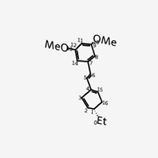 CC[C@@H]1C=CC(/C=C/c2cc(OC)cc(OC)c2)=CC1